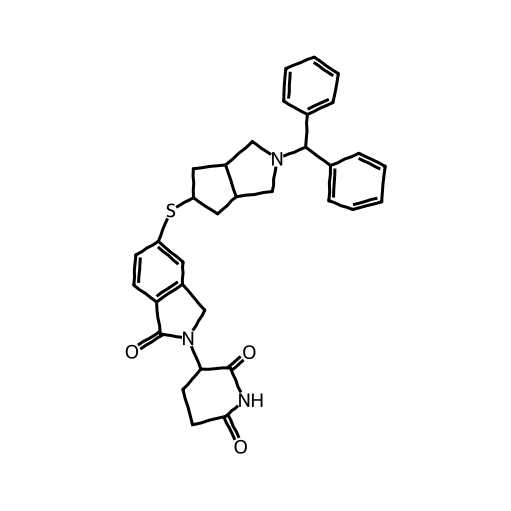 O=C1CCC(N2Cc3cc(SC4CC5CN(C(c6ccccc6)c6ccccc6)CC5C4)ccc3C2=O)C(=O)N1